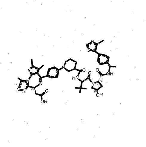 Cc1ncsc1-c1ccc(C(C)NC(=O)[C@@H]2C[C@@H](O)CN2C(=O)C(NC(=O)C2CCCN(c3ccc(C4=N[C@@H](CC(=O)O)c5nnc(C)n5-c5sc(C)c(C)c54)cc3)C2)C(C)(C)C)cc1